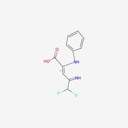 N=C(/C=C(\Nc1ccccc1)C(=O)O)C(F)F